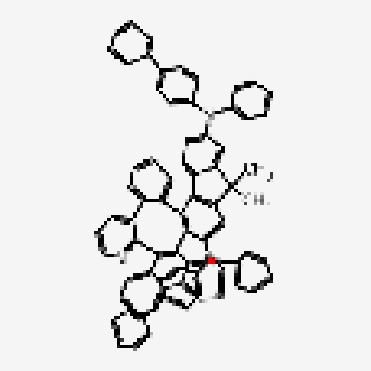 CC1(C)c2cc(N(c3ccccc3)c3ccc(-c4ccccc4)cc3)ccc2-c2c1cc(N(c1ccccc1)c1ccc(-c3ccccc3)cc1)c1c2-c2ccccc2-c2cccnc2-c2c-1c1ccccc1c1ccccc21